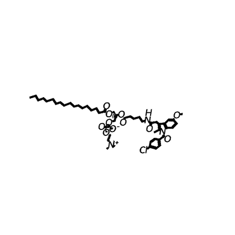 CCCCCCCCCCCCCCCCCC(=O)OC[C@H](COP(=O)([O-])OCC[N+](C)(C)C)OC(=O)CCCCNC(=O)Cc1c(C)n(C(=O)c2ccc(Cl)cc2)c2ccc(OC)cc12